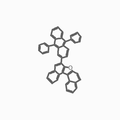 c1ccc(-c2c3ccccc3c(-c3ccccc3)c3cc(-c4cc5ccccc5c5c4oc4ccc6ccccc6c45)ccc23)cc1